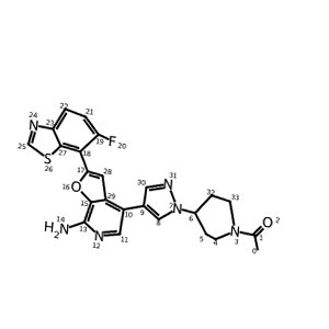 CC(=O)N1CCC(n2cc(-c3cnc(N)c4oc(-c5c(F)ccc6ncsc56)cc34)cn2)CC1